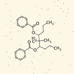 CCCC(OC(=O)c1ccccc1)C(C)(C)C(CCC)OC(=O)c1ccccc1